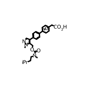 CC(C)CCN(C)C(=O)OCc1c(-c2ccc(C34CCC(CC(=O)O)(CC3)OC4)cc2)cnn1C